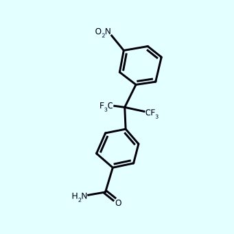 NC(=O)c1ccc(C(c2cccc([N+](=O)[O-])c2)(C(F)(F)F)C(F)(F)F)cc1